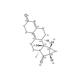 C[C@]12CCC3=C4CCC(=O)C=C4CC[C@H]3[C@@H]1[C@@H]1C[C@@H]1C2=O